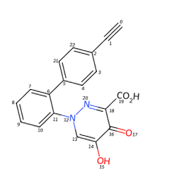 C#Cc1ccc(-c2ccccc2-n2cc(O)c(=O)c(C(=O)O)n2)cc1